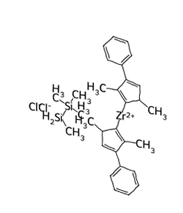 CC1=[C]([Zr+2][C]2=C(C)C(c3ccccc3)=CC2C)C(C)C=C1c1ccccc1.C[SiH2][Si](C)(C)C.[Cl-].[Cl-]